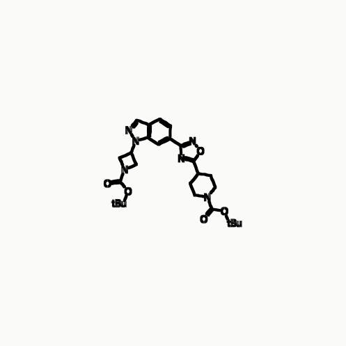 CC(C)(C)OC(=O)N1CCC(c2nc(-c3ccc4cnn(C5CN(C(=O)OC(C)(C)C)C5)c4c3)no2)CC1